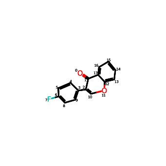 O=c1c(-c2ccc(F)cc2)coc2ccccc12